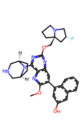 COc1nc2c(N3[C@@H]4CC[C@H]3CNC4)nc(OC[C@@]34CCCN3C[C@H](F)C4)nc2cc1-c1cc(O)cc2ccccc12